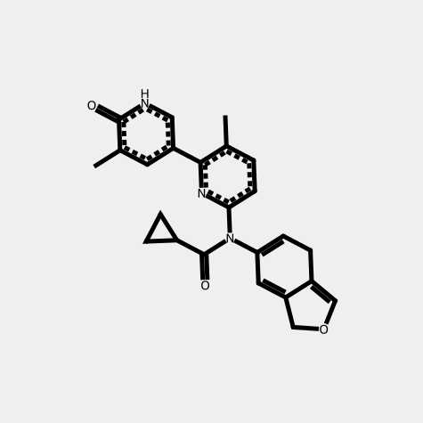 Cc1ccc(N(C(=O)C2CC2)C2=CCC3=COCC3=C2)nc1-c1c[nH]c(=O)c(C)c1